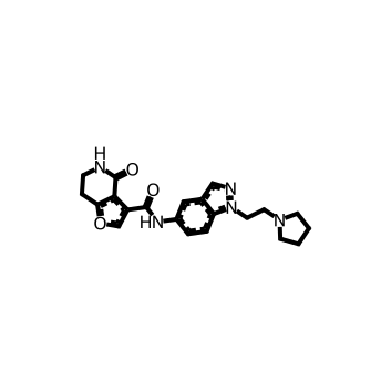 O=C(Nc1ccc2c(cnn2CCN2CCCC2)c1)c1coc2c1C(=O)NCC2